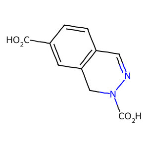 O=C(O)c1ccc2c(c1)CN(C(=O)O)N=C2